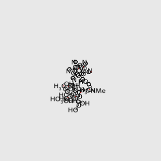 CNC(C)Cc1ccc(O)cc1.C[C@@H]1O[C@@H](OC[C@H]2O[C@@H](Oc3c(-c4ccc(OCCO)c(O)c4)oc4cc(OCCO)cc(OCCO)c4c3=O)[C@H](O)[C@@H](O)[C@@H]2O)[C@H](O)[C@H](O)[C@H]1O.O=C(OC1C(OC(=O)c2cccnc2)C(OC(=O)c2cccnc2)C(OC(=O)c2cccnc2)C(OC(=O)c2cccnc2)C1OC(=O)c1cccnc1)c1cccnc1.O=S(=O)(O)O